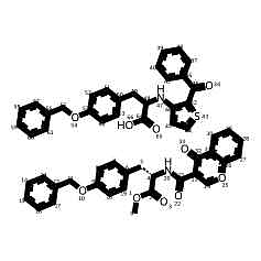 COC(=O)[C@H](Cc1ccc(OCc2ccccc2)cc1)NC(=O)c1coc2ccccc2c1=O.O=C(c1ccccc1)c1sccc1NC(Cc1ccc(OCc2ccccc2)cc1)C(=O)O